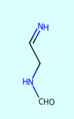 N=CCNC=O